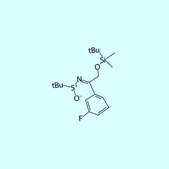 CC(C)(C)[S+]([O-])/N=C(/CO[Si](C)(C)C(C)(C)C)c1cccc(F)c1